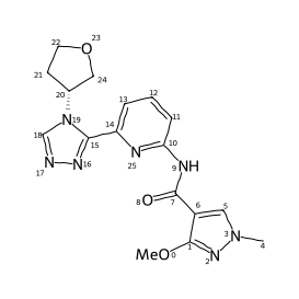 COc1nn(C)cc1C(=O)Nc1cccc(-c2nncn2[C@@H]2CCOC2)n1